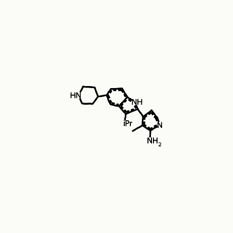 Cc1c(-c2[nH]c3ccc(C4CCNCC4)cc3c2C(C)C)ccnc1N